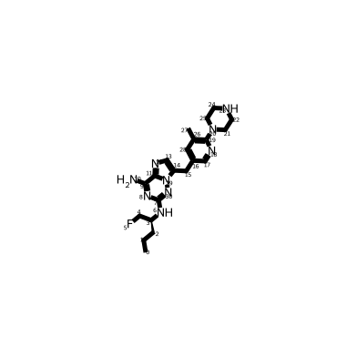 CCC[C@@H](CF)Nc1nc(N)c2ncc(Cc3cnc(N4CCNCC4)c(C)c3)n2n1